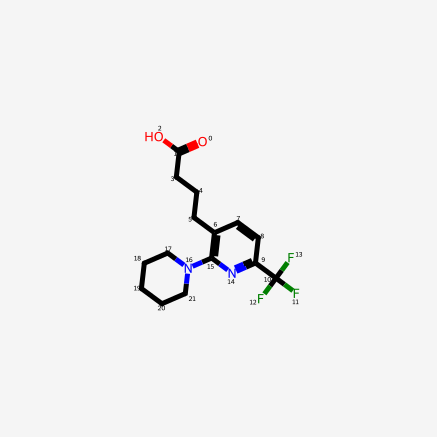 O=C(O)CCCc1ccc(C(F)(F)F)nc1N1CCCCC1